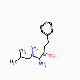 CC(C)CN(N)C(N)[C@@H](O)CCc1ccccc1